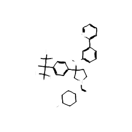 CC(c1ccc(C2([S+]([O-])c3cccc(-c4ccccn4)c3)CCN(C(=O)[C@H]3CC[C@H](C)CC3)C2)cc1)(C(F)(F)F)C(F)(F)F